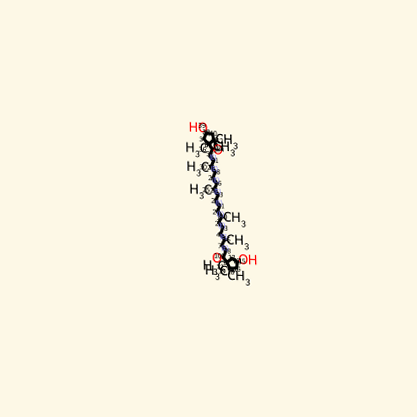 CC(/C=C/C=C(C)/C=C/C(=O)C1(C)C[C@@H](O)CC1(C)C)=C\C=C\C=C(C)\C=C\C=C(C)\C=C\C(=O)[C@]1(C)C[C@@H](O)CC1(C)C